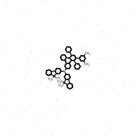 Cc1cc(C)cc(-c2cc(-c3ccccc3)c3c4ccccc4c4cc(N(c5ccc6c(c5)C(C)(C)c5ccccc5-6)c5ccc6c(c5)C(C)(C)c5ccccc5-6)ccc4c3c2-c2ccccc2)c1